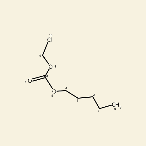 CCCCCOC(=O)OCCl